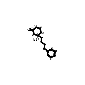 CC[C@@]1(CCCCc2ccccc2)CCCC(=O)C1